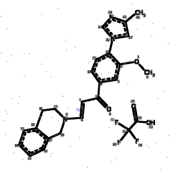 COc1cc(C(=O)/C=C/N2CCc3ccccc3C2)ccc1-n1cnc(C)c1.O=C(O)C(F)(F)F